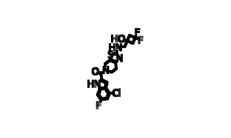 O=C(c1cc2c(Cl)cc(F)cc2[nH]1)N1CCc2nc(NCC3(O)CC(F)(F)C3)sc2C1